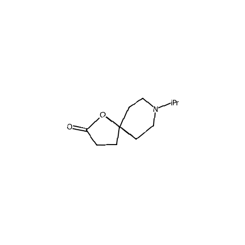 CC(C)N1CCC2(CCC(=O)O2)CC1